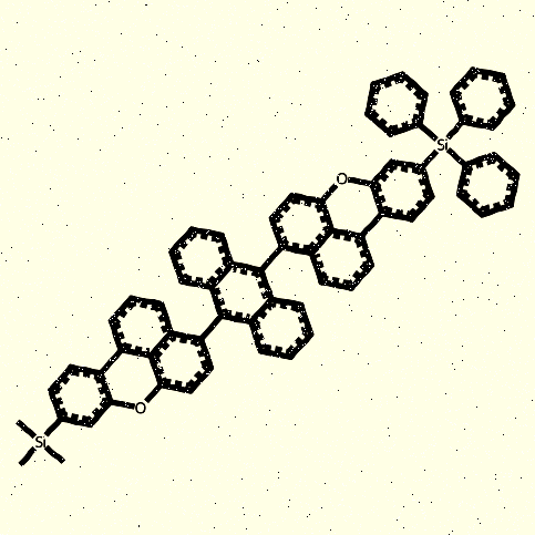 C[Si](C)(C)c1ccc2c(c1)Oc1ccc(-c3c4ccccc4c(-c4ccc5c6c(cccc46)-c4ccc([Si](c6ccccc6)(c6ccccc6)c6ccccc6)cc4O5)c4ccccc34)c3cccc-2c13